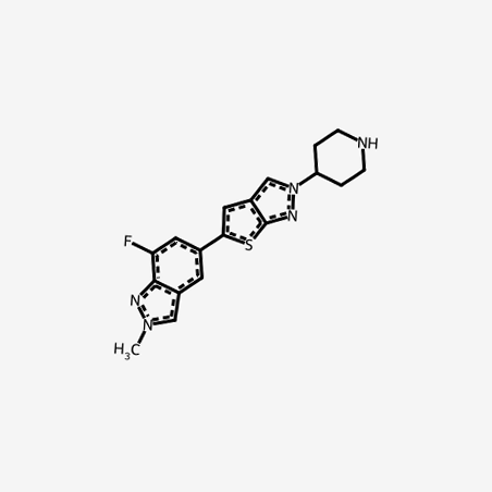 Cn1cc2cc(-c3cc4cn(C5CCNCC5)nc4s3)cc(F)c2n1